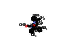 C=CCC1(C)/C(=C(C#N)/C(C#N)=C(\C#N)C2=[N+](CCCOC=O)c3ccc(C)cc3C2(C)Cc2cccc([N+](=O)[O-])c2)N(CCCC(=O)O)c2ccc(OC)cc21